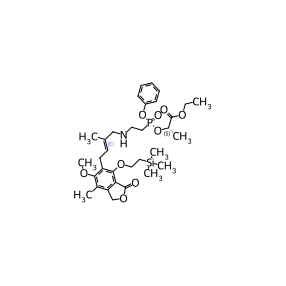 CCOC(=O)[C@H](C)OP(=O)(CCNC/C(C)=C/Cc1c(OC)c(C)c2c(c1OCC[Si](C)(C)C)C(=O)OC2)Oc1ccccc1